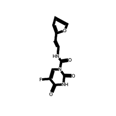 O=C(NC=Cc1ccco1)n1cc(F)c(=O)[nH]c1=O